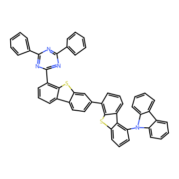 c1ccc(-c2nc(-c3ccccc3)nc(-c3cccc4c3sc3cc(-c5cccc6c5sc5cccc(-n7c8ccccc8c8ccccc87)c56)ccc34)n2)cc1